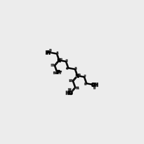 CC(C)CN(CCCN(CCO)CCO)CC(C)C